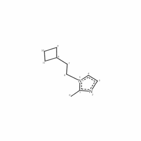 Cc1n[c]cn1CCC1CCC1